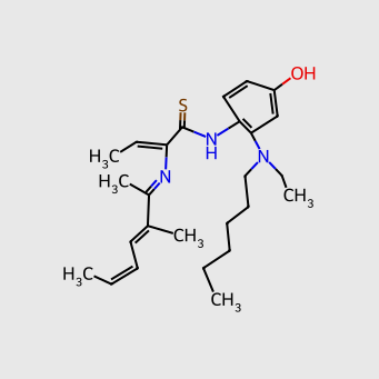 C\C=C/C=C(C)/C(C)=N/C(=C\C)C(=S)Nc1ccc(O)cc1N(CC)CCCCCC